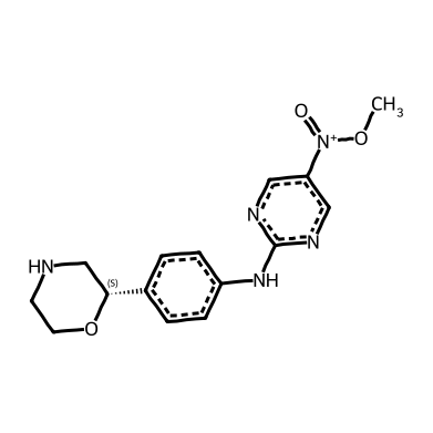 CO[N+](=O)c1cnc(Nc2ccc([C@H]3CNCCO3)cc2)nc1